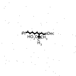 CCCCCCCCCCCCC(CCCCCC(C)C)C(C)(C)C(=O)O